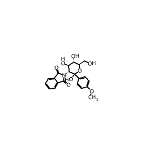 COc1ccc([C@@]2(O)O[C@H](CO)[C@@H](O)[C@H](O)[C@H]2N2C(=O)c3ccccc3C2=O)cc1